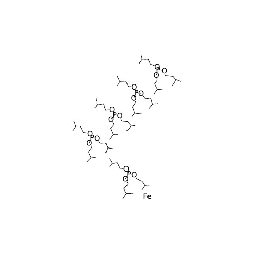 CC(C)CCOP(OCCC(C)C)OCCC(C)C.CC(C)CCOP(OCCC(C)C)OCCC(C)C.CC(C)CCOP(OCCC(C)C)OCCC(C)C.CC(C)CCOP(OCCC(C)C)OCCC(C)C.CC(C)CCOP(OCCC(C)C)OCCC(C)C.[Fe]